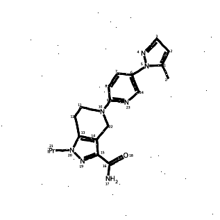 Cc1ccnn1-c1ccc(N2CCc3c(c(C(N)=O)nn3C(C)C)C2)nc1